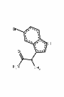 CC(C(N)=O)c1c[nH]c2ccc(Br)cc12